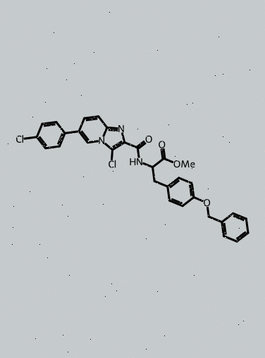 COC(=O)C(Cc1ccc(OCc2ccccc2)cc1)NC(=O)c1nc2ccc(-c3ccc(Cl)cc3)cn2c1Cl